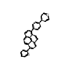 c1ccc(-c2ccc3ccc4c(-c5ccc(-c6ccncc6)cc5)ccc5ccc2c3c54)nc1